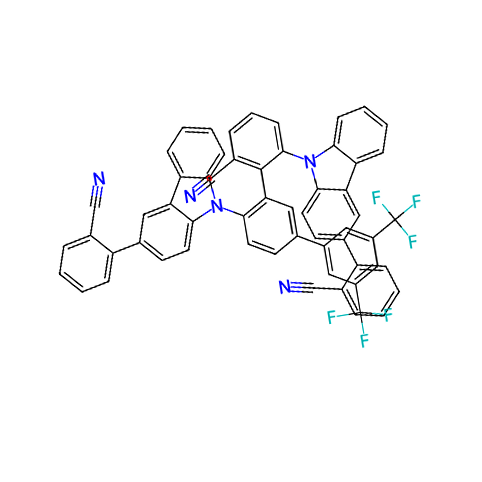 N#Cc1ccccc1-c1ccc2c(c1)c1ccccc1n2-c1ccc(-c2cc(C(F)(F)F)cc(C(F)(F)F)c2)cc1-c1c(C#N)cccc1-n1c2ccccc2c2cc(-c3ccccc3C#N)ccc21